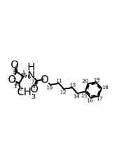 C[C@H]1OC(=O)[C@@H]1NC(=O)OCCCCCc1ccccc1